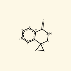 O=C1NCC2(CC2)c2cnccc21